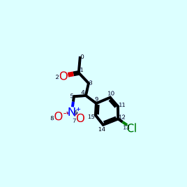 CC(=O)CC(C[N+](=O)[O-])c1ccc(Cl)cc1